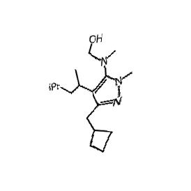 CC(C)CC(C)c1c(CC2CCC2)nn(C)c1N(C)CO